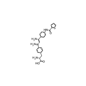 N/C(=C\N(N)c1ccc(CC(N)C(=O)O)cc1)c1ccc(NC(=O)c2cccs2)cc1